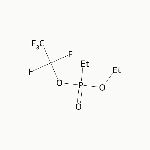 CCOP(=O)(CC)OC(F)(F)C(F)(F)F